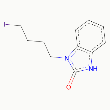 O=c1[nH]c2ccccc2n1CCCCI